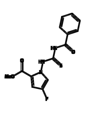 COC(=O)c1cc(F)cn1NC(=S)NC(=O)c1ccccc1